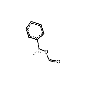 C[C@@H](OC=O)c1ccccc1